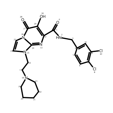 O=C(NCc1ccc(Cl)c(Cl)c1)c1nc2n(CCN3CCCCC3)ccn2c(=O)c1O